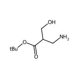 CC(C)(C)OC(=O)C(CN)CO